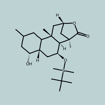 CC1CC2[C@H](C[C@H](O[Si](C)(C)C(C)(C)C)[C@@H]3[C@@]4(C)C[C@H](C[C@@]23C)OC4=O)[C@H](O)C1